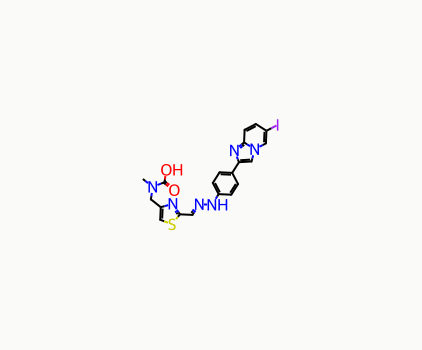 CN(Cc1csc(C=NNc2ccc(-c3cn4cc(I)ccc4n3)cc2)n1)C(=O)O